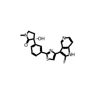 CN1CC[C@@](O)(c2cccc(-c3nc(-c4c(F)[nH]c5ccncc45)cs3)c2)C1=O